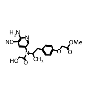 COC(=O)COc1ccc(CC(C)N(C(=O)CO)c2cnc(N)c(C#N)c2)cc1